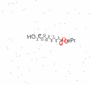 CCCOOC(=O)CCCCCCCCC(=O)O